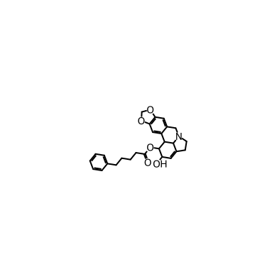 O=C(CCCCc1ccccc1)OC1C(O)C=C2CCN3Cc4cc5c(cc4C1C23)OCO5